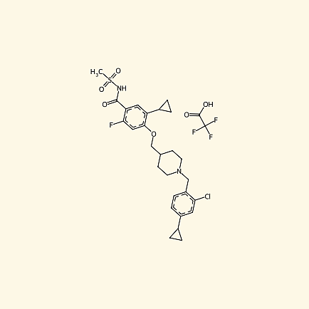 CS(=O)(=O)NC(=O)c1cc(C2CC2)c(OCC2CCN(Cc3ccc(C4CC4)cc3Cl)CC2)cc1F.O=C(O)C(F)(F)F